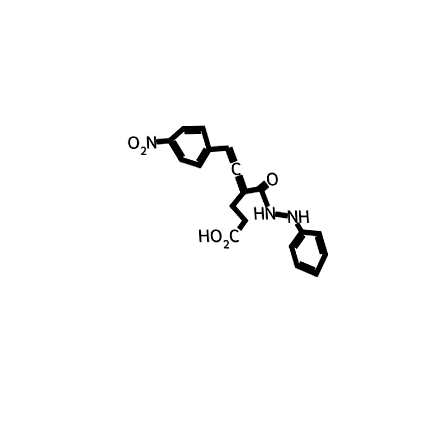 O=C(O)CCC(=C=Cc1ccc([N+](=O)[O-])cc1)C(=O)NNc1ccccc1